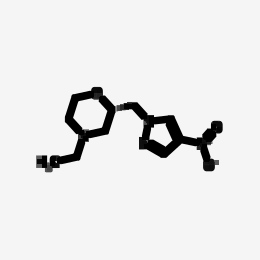 CCN1CCO[C@H](Cn2cc([N+](=O)[O-])cn2)C1